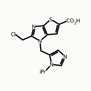 CC(C)n1cncc1Cn1c(CCl)nc2sc(C(=O)O)cc21